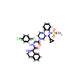 CS(=O)(=O)N(CC1CC1)c1ccccc1N1CCN(C(=O)[C@@H](Cc2ccc(Cl)cc2)NC(=O)C2N[CH]Cc3ccccc32)CC1